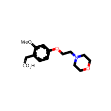 COc1cc(OCCN2CCOCC2)ccc1CC(=O)O